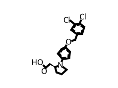 O=C(O)C[C@@H]1CCCN1c1ccc(OCc2ccc(Cl)c(Cl)c2)cc1